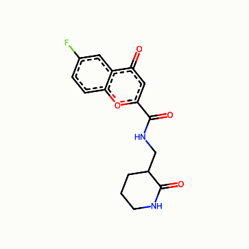 O=C(NCC1CCCNC1=O)c1cc(=O)c2cc(F)ccc2o1